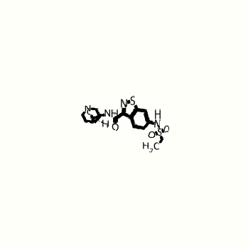 CCS(=O)(=O)Nc1ccc2c(C(=O)N[C@@H]3CN4CCC3CC4)nsc2c1